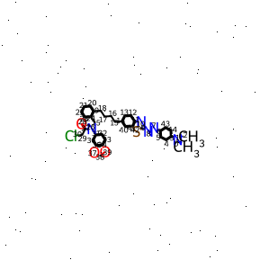 CN(C)c1ccc(/N=N/c2nc3ccc(CCCCc4ccccc4CN(C(=O)CCl)c4ccc5c(c4)OCO5)cc3s2)cc1